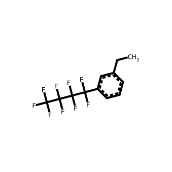 C[CH]c1cccc(C(F)(F)C(F)(F)C(F)(F)C(F)(F)F)c1